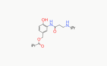 CC(C)NCCC(=O)Nc1cc(COC(=O)C(C)C)ccc1O